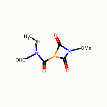 CBN(C=O)C(=O)P1C(=O)N(OC)C1=O